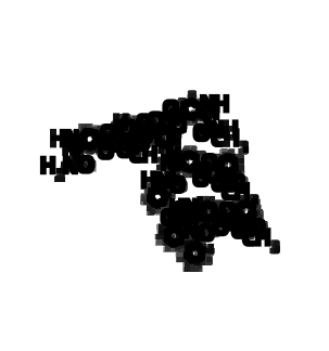 CNC(=O)c1n[nH]c2ccc(S(=O)(=O)Oc3ccccc3S(C)(=O)=O)cc12.CS(=O)(=O)c1ccccc1OS(=O)(=O)c1ccc2[nH]nc(C(=O)Nc3ccccc3)c2c1.CS(=O)(=O)c1ccccc1OS(=O)(=O)c1ccc2[nH]nc(C(N)=O)c2c1.CS(=O)(=O)c1ccccc1OS(=O)(=O)c1ccc2[nH]nc(N(C(=O)c3ccccc3)c3ccccc3S(C)(=O)=O)c2c1